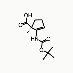 CC(C)(C)OC(=O)NC1=CCC[C@]1(C)C(=O)O